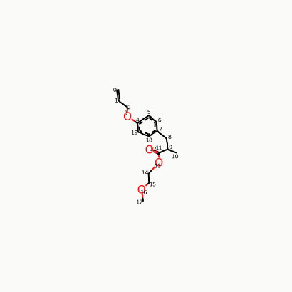 C=CCOc1ccc(CC(C)C(=O)OCCOC)cc1